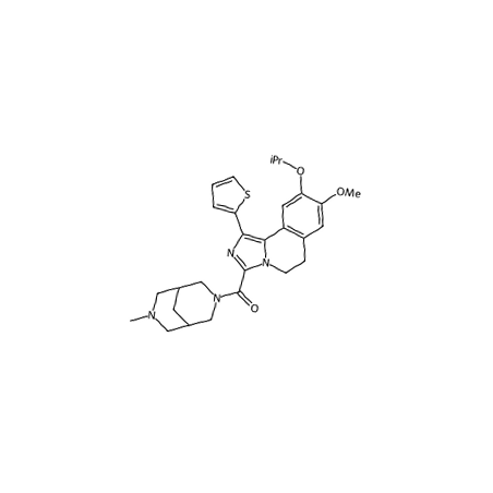 COc1cc2c(cc1OC(C)C)-c1c(-c3cccs3)nc(C(=O)N3CC4CC(CN(C)C4)C3)n1CC2